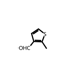 Cc1sccc1[C]=O